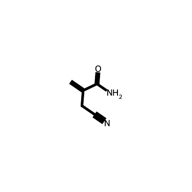 C=C(CC#N)C(N)=O